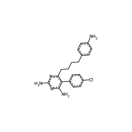 Nc1ccc(CCCCc2nc(N)nc(N)c2-c2ccc(Cl)cc2)cc1